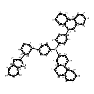 c1cc(-c2ccc(N(c3ccc(-c4cc5ccccc5c5ccccc45)cc3)c3ccc4c(ccc5ccccc54)c3)cc2)cc(-c2cc3ccccc3o2)c1